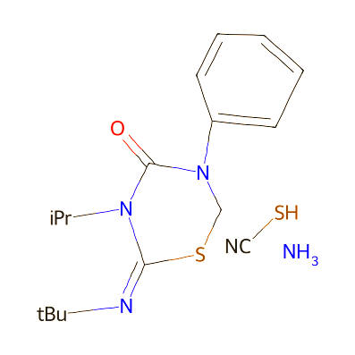 CC(C)N1C(=O)N(c2ccccc2)CSC1=NC(C)(C)C.N.N#CS